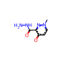 Cn1ccc(=O)c(C(=O)NN)n1